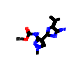 CC(C)=C1N=C(c2cn(C)nc2NC(=O)OC(C)(C)C)NC1=N